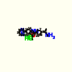 Cl.Cl.NC1CC1c1ccc(C(=O)Nc2ccc(-c3ncccn3)cc2)cc1